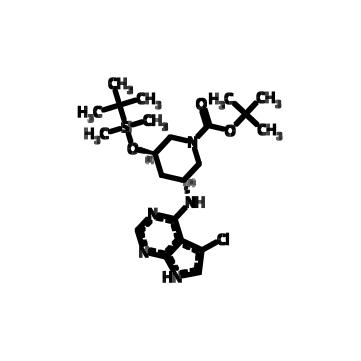 CC(C)(C)OC(=O)N1C[C@H](Nc2ncnc3[nH]cc(Cl)c23)C[C@@H](O[Si](C)(C)C(C)(C)C)C1